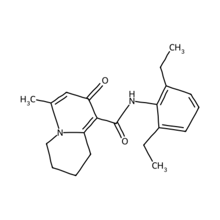 CCc1cccc(CC)c1NC(=O)c1c2n(c(C)cc1=O)CCCC2